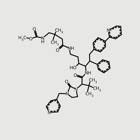 COC(=O)NCC(C)(C)CC(=O)NCCC(O)C(NC(=O)C(N1CCN(Cc2ccncc2)C1=O)C(C)(C)C)C(Cc1ccc(-c2ccccn2)cc1)c1ccccc1